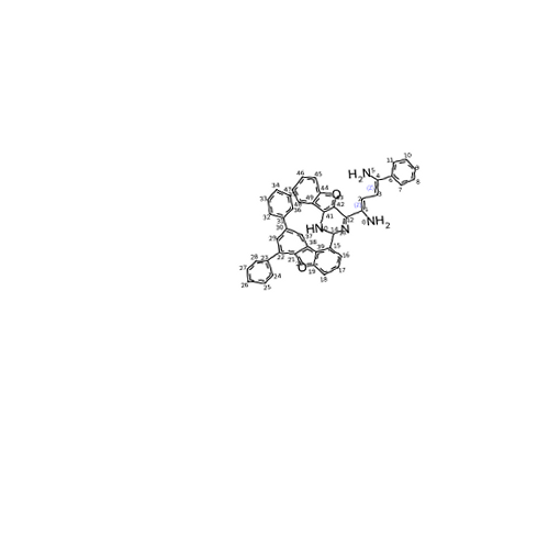 N/C(=C\C=C(/N)c1ccccc1)C1=NC(c2cccc3oc4c(-c5ccccc5)cc(-c5ccccc5)cc4c23)Nc2c1oc1ccccc21